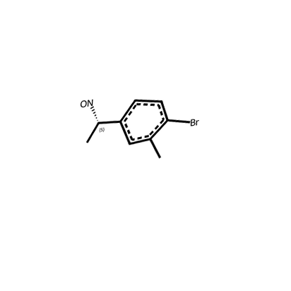 Cc1cc([C@H](C)N=O)ccc1Br